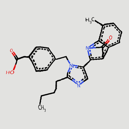 CCCCc1ncc(-c2c3c4cccc(C)c4n2C3=O)n1Cc1ccc(C(=O)O)cc1